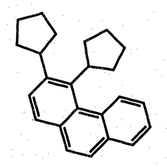 [c]1cc(C2CCCC2)c(C2CCCC2)c2c1ccc1ccccc12